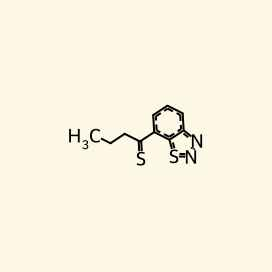 CCCC(=S)c1cccc2nnsc12